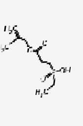 C=C(C)COC(=O)CCP(=O)(O)CC